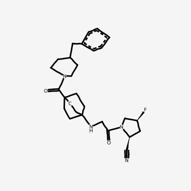 N#C[C@@H]1C[C@H](F)CN1C(=O)CNC12CCC(C(=O)N3CCC(Cc4ccccc4)CC3)(CC1)CC2